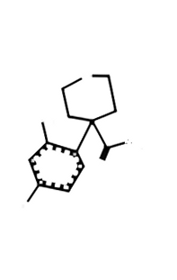 Cc1cc(Br)ccc1C1(C(N)=O)CCOCC1